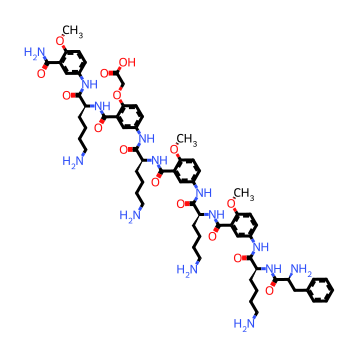 COc1ccc(NC(=O)[C@H](CCCCN)NC(=O)c2cc(NC(=O)[C@H](CCCCN)NC(=O)c3cc(NC(=O)[C@H](CCCCN)NC(=O)c4cc(NC(=O)[C@H](CCCCN)NC(=O)[C@@H](N)Cc5ccccc5)ccc4OC)ccc3OC)ccc2OCC(=O)O)cc1C(N)=O